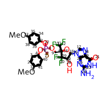 COc1ccc(OP(=S)(OC[C@@]2(C(F)F)O[C@@H](n3cnc4c(=O)[nH]c(N)nc43)[C@H](O)C2(F)F)Oc2ccc(OC)cc2)cc1